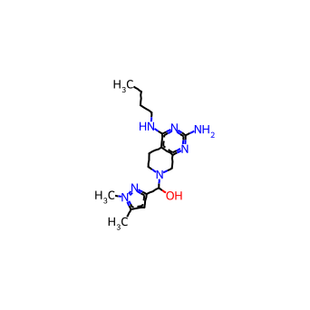 CCCCNc1nc(N)nc2c1CCN(C(O)c1cc(C)n(C)n1)C2